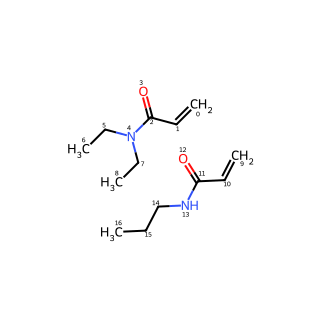 C=CC(=O)N(CC)CC.C=CC(=O)NCCC